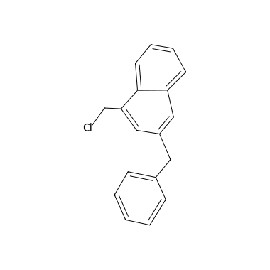 ClCc1cc(Cc2ccccc2)cc2ccccc12